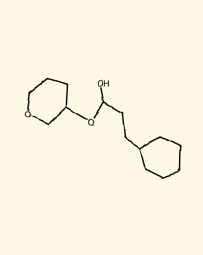 OC(CCC1CCCCC1)OC1CCCOC1